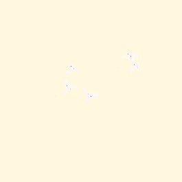 Cc1n[nH]c2ccc(-c3nc4ccccn4c3NC3CCCCC3)cc12